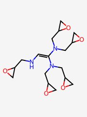 C(NCC1CO1)=C(N(CC1CO1)CC1CO1)N(CC1CO1)CC1CO1